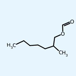 CCCCCC(C)COC=O